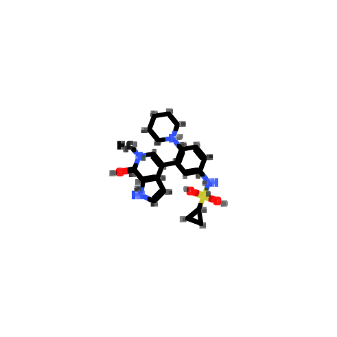 Cn1cc(-c2cc(NS(=O)(=O)C3CC3)ccc2N2CCCCC2)c2cc[nH]c2c1=O